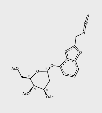 CC(=O)OC[C@H]1O[C@@H](Oc2cccc3oc(CN=[N+]=[N-])cc23)C[C@@H](OC(C)=O)[C@H]1OC(C)=O